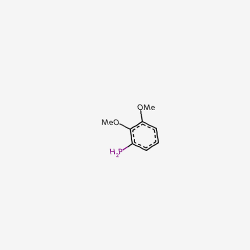 COc1cccc(P)c1OC